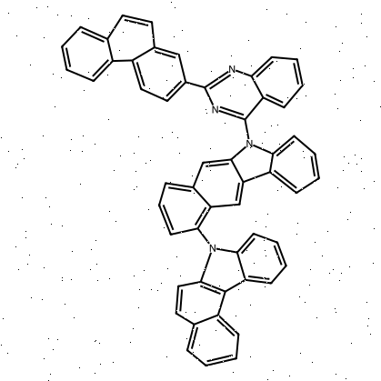 c1cc(-n2c3ccccc3c3c4ccccc4ccc32)c2cc3c4ccccc4n(-c4nc(-c5ccc6c(ccc7ccccc76)c5)nc5ccccc45)c3cc2c1